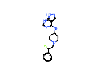 FC(CN1CCC(Nc2ncnc3[nH]ncc23)CC1)c1ccccc1